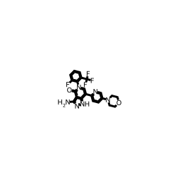 Nc1n[nH]c2c(-c3ccc(N4CCOCC4)cn3)cn(-c3c(F)cccc3C(F)(F)F)c(=O)c12